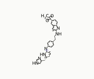 CS(=O)(=O)c1ccc2nc(NCCc3ccc(/N=C4/N[C@@H](Cc5c[nH]cn5)CS4)cc3)sc2c1